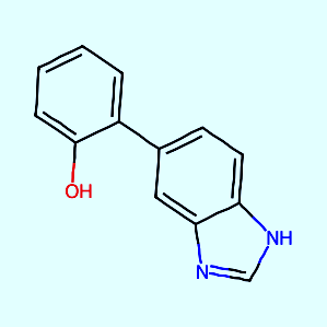 Oc1ccccc1-c1ccc2[nH]cnc2c1